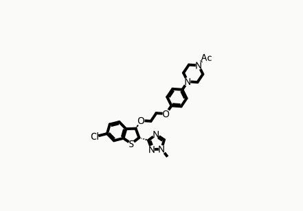 CC(=O)N1CCN(c2ccc(OCCO[C@H]3c4ccc(Cl)cc4S[C@H]3c3ncn(C)n3)cc2)CC1